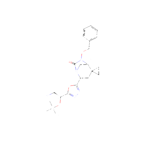 CC(C)(C)[Si](C)(C)O[C@@H](CN)c1nnc(C2CC3(CC3)[C@H]3CN2C(=O)N3OCc2ccccc2)o1